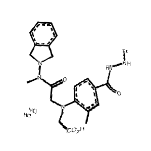 CCNNC(=O)c1ccc(N(CC(=O)O)CC(=O)N(C)N2Cc3ccccc3C2)c(C)c1.Cl.Cl